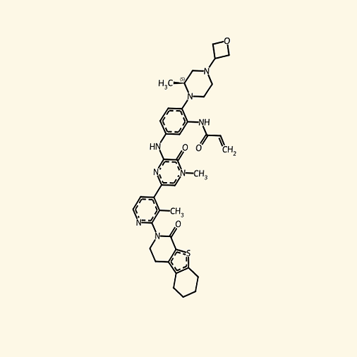 C=CC(=O)Nc1cc(Nc2nc(-c3ccnc(N4CCc5c(sc6c5CCCC6)C4=O)c3C)cn(C)c2=O)ccc1N1CCN(C2COC2)C[C@@H]1C